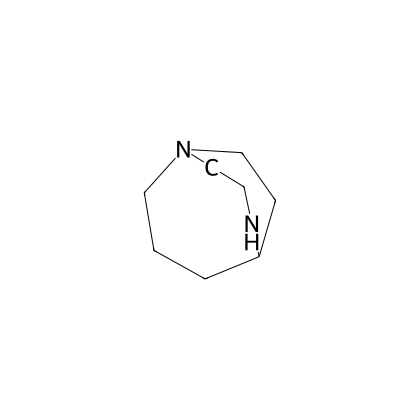 C1CC2CCN(C1)CCN2